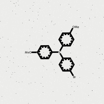 COc1ccc([S+](c2ccc(Br)cc2)c2ccc(OC)cc2)cc1